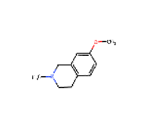 COc1ccc2c(c1)CN(C)CC2